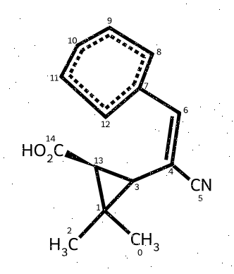 CC1(C)C(C(C#N)=Cc2ccccc2)[C@@H]1C(=O)O